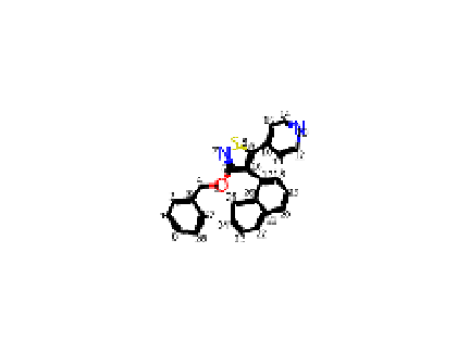 c1ccc(COc2nsc(-c3ccncc3)c2-c2cccc3ccccc23)cc1